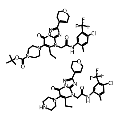 CCc1c(N2CCN(C(=O)OC(C)(C)C)CC2)c(=O)n2nc(C3=CCOCC3)nc2n1CC(=O)Nc1cc(C(F)(F)F)c(Cl)cc1C.CCc1c(N2CCNCC2)c(=O)n2nc(C3=CCOCC3)nc2n1CC(=O)Nc1cc(C(F)(F)F)c(Cl)cc1C